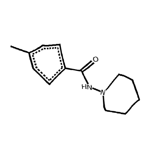 Cc1ccc(C(=O)NN2CCCCC2)cc1